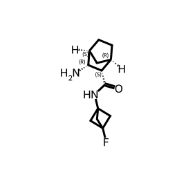 N[C@@H]1[C@H]2CC[C@H](C2)[C@@H]1C(=O)NC12CC(F)(C1)C2